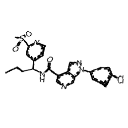 CCCC(NC(=O)c1cncc2c1cnn2-c1ccc(Cl)cc1)c1ccnc(S(C)(=O)=O)c1